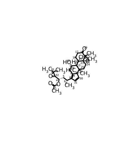 CC(=O)O[C@@H](C[C@@H](C)C1=C2C[C@H](O)[C@H]3[C@@]4(C)CCC(=O)C(C)(C)[C@@H]4CC[C@]3(C)[C@@]2(C)C=C1)[C@H]1OC1(C)C